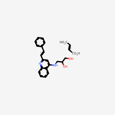 O=C(O)/C=C/C(=O)O.OCC(O)CNc1cc(/C=C/c2ccccc2)nc2ccccc12